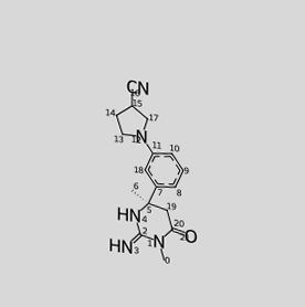 CN1C(=N)N[C@@](C)(c2cccc(N3CCC(C#N)C3)c2)CC1=O